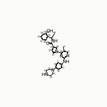 Cc1cnc(Nc2ccc(N3CCNCC3)cc2)nc1-n1ccc(C(=O)NC(C)c2ccccc2O)c1